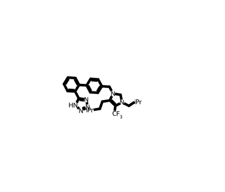 CC(C)CCC1=C(C(F)(F)F)N(CC(C)C)CN1Cc1ccc(-c2ccccc2-c2nnn[nH]2)cc1